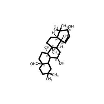 CC1(C)CC[C@]2(C=O)CC[C@]3(C)C(C2C1)[C@H](O)C[C@@H]1[C@@]2(C)C=C[C@H](O)C(C)(C)[C@@H]2CC[C@]13C